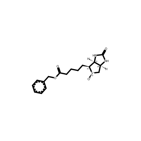 O=C1N[C@H]2[C@H](C[S@@+]([O-])[C@H]2CCCCC(=O)OCc2ccccc2)N1